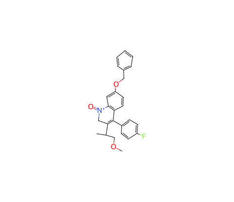 COCC(C)C1=C(c2ccc(F)cc2)c2ccc(OCc3ccccc3)cc2[N+](=O)C1